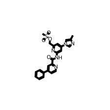 Cc1cn(-c2cc(COS(C)(=O)=O)nc(NC(=O)c3cc(-c4ccccc4)ccn3)c2)cn1